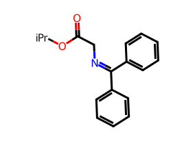 CC(C)OC(=O)CN=C(c1ccccc1)c1ccccc1